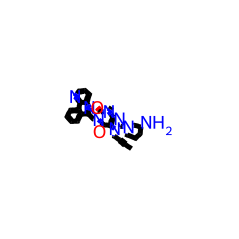 CC#CCn1c(N2CCCC(N)C2)nc2c1c(=O)n(Cc1nc3cccnc3c3ccccc13)c(=O)n2C